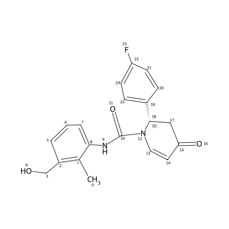 Cc1c(CO)cccc1NC(=O)N1C=CC(=O)C[C@H]1c1ccc(F)cc1